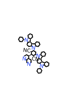 N#Cc1c(-n2c3ccccc3c3c4c5ccccc5n(-c5ccccc5)c4ccc32)cc(-n2c3ccccc3c3c4c5ccccc5n(-c5ccccc5)c4ccc32)c(C#N)c1-c1ccnc2cnccc12